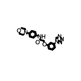 O=C(COc1cccc(-n2cnnn2)c1)Nc1ccc(N2CCOCC2)cc1